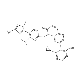 COc1ncnc(C2CC2)c1-c1ncc2ccc(=O)n(Cc3ccc(-c4nc(C(F)(F)F)cn4C)c(N(C)C)c3)c2n1